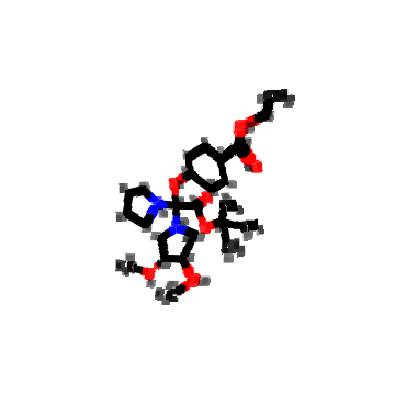 CCOC(=O)C1CCC(OC(C(=O)OC(C)(C)C)(N2CCCC2)N2C[C@@H](OC)[C@H](OC)C2)CC1